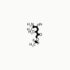 C=C(N)[C@@H](CCC)CC(C)C(=O)COC(C)(F)F